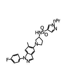 CCCn1cc(S(=O)(=O)N[C@H]2CCN(c3cc4cnn(-c5ccc(F)cc5)c4cc3C)C2)cn1